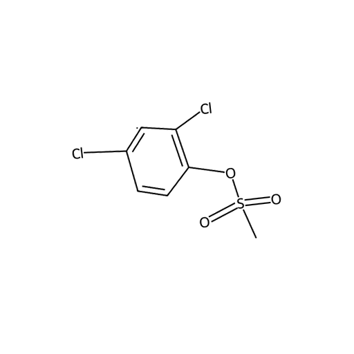 CS(=O)(=O)Oc1ccc(Cl)[c]c1Cl